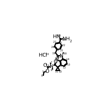 CCOC(=O)[N+](C)(C)C(=O)C1(c2cccc3c2nc(Cc2ccc(C(=N)N)cc2)n3C)CC1.Cl